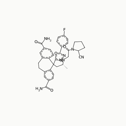 C[C@H](CC1(c2nnc(-c3ccc(F)cc3)o2)c2ccc(C(N)=O)cc2CCc2cc(C(N)=O)ccc21)NCC(=O)N1CCCC1C#N